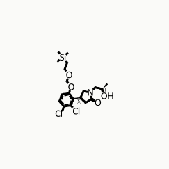 C[C@@H](O)CN1C[C@H](c2c(OCOCC[Si](C)(C)C)ccc(Cl)c2Cl)CC1=O